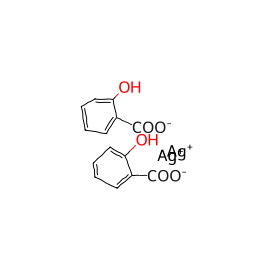 O=C([O-])c1ccccc1O.O=C([O-])c1ccccc1O.[Ag+].[Ag+]